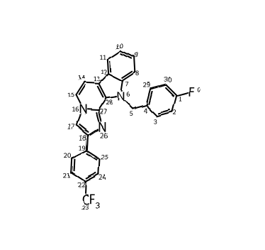 Fc1ccc(Cn2c3ccccc3c3ccn4cc(-c5ccc(C(F)(F)F)cc5)nc4c32)cc1